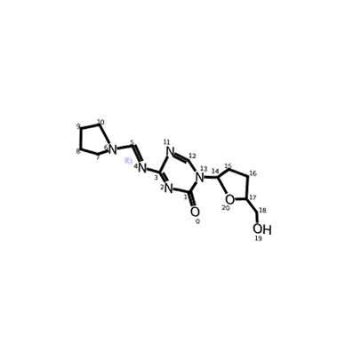 O=c1nc(/N=C/N2CCCC2)ncn1C1CCC(CO)O1